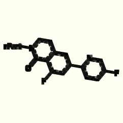 CCCCCn1ccc2cc(-c3ccc(F)cn3)cc(F)c2c1=O